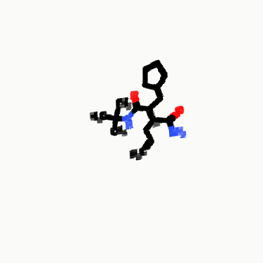 C=CC[C@H](C(N)=O)C(CC1CCCC1)C(=O)NC(C)(C)C